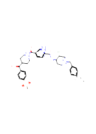 CS(=O)(=O)c1ccc(C(=O)C2CCN(C(=O)c3ccc(C(=O)NC4CCN(Cc5ccc(C#N)cc5)C[C@H]4F)nc3)CC2)cc1